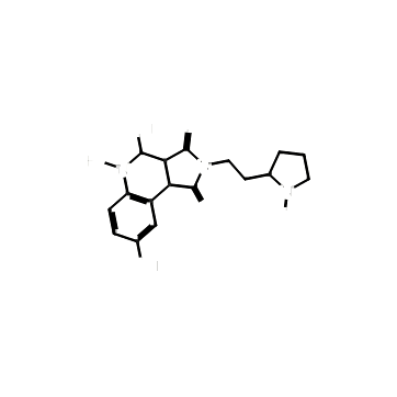 CCN1c2ccc(C)cc2C2C(=O)N(CCC3CCCN3C)C(=O)C2C1C